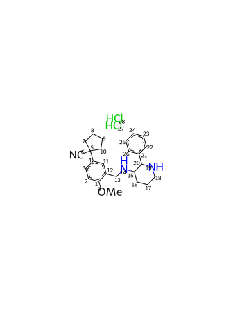 COc1ccc(C2(C#N)CCCC2)cc1CNC1CCCNC1c1ccccc1.Cl.Cl